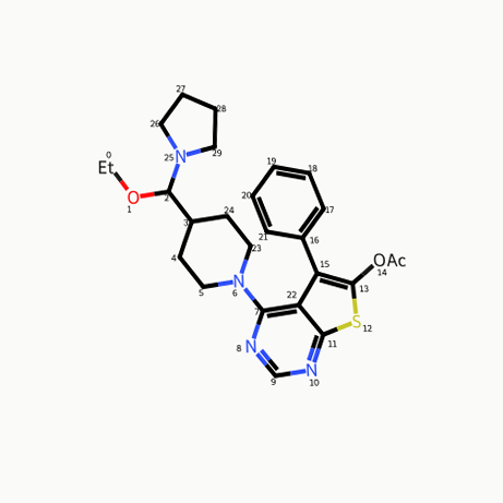 CCOC(C1CCN(c2ncnc3sc(OC(C)=O)c(-c4ccccc4)c23)CC1)N1CCCC1